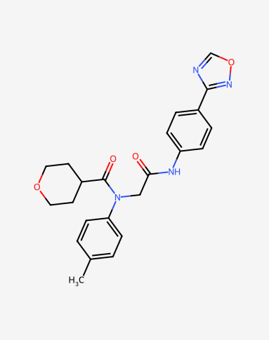 Cc1ccc(N(CC(=O)Nc2ccc(-c3ncon3)cc2)C(=O)C2CCOCC2)cc1